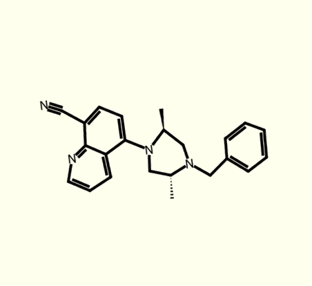 C[C@@H]1CN(c2ccc(C#N)c3ncccc23)[C@@H](C)CN1Cc1ccccc1